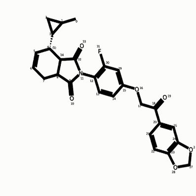 CC1CC1[C@H]1C=CCC2C(=O)N(c3ccc(OCC(=O)c4ccc5c(c4)OCO5)cc3F)C(=O)C21